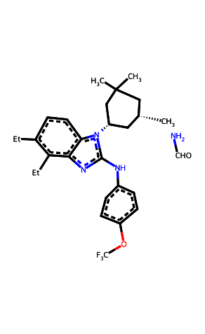 CCc1ccc2c(nc(Nc3ccc(OC(F)(F)F)cc3)n2[C@H]2C[C@@H](C)CC(C)(C)C2)c1CC.NC=O